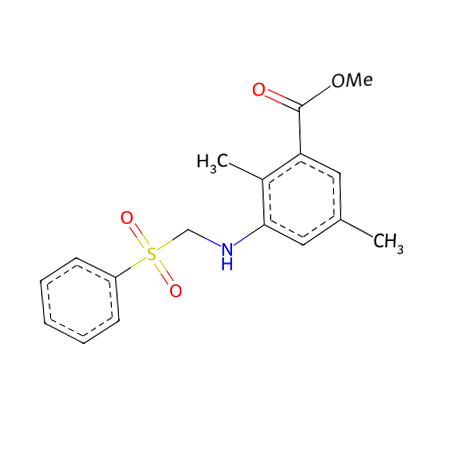 COC(=O)c1cc(C)cc(NCS(=O)(=O)c2ccccc2)c1C